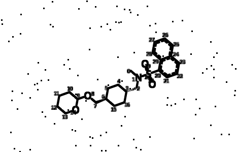 CN(C[C@H]1CC[C@H](COC2CCCCO2)CC1)S(=O)(=O)c1cccc2ccccc12